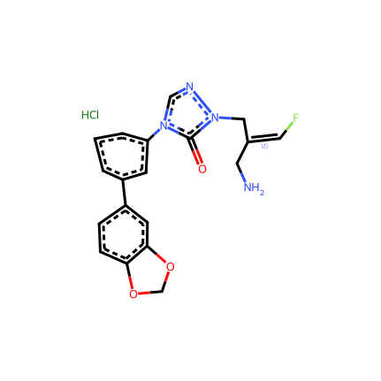 Cl.NC/C(=C/F)Cn1ncn(-c2cccc(-c3ccc4c(c3)OCO4)c2)c1=O